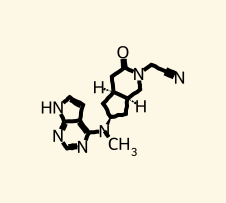 CN(c1ncnc2[nH]ccc12)[C@H]1C[C@H]2CC(=O)N(CC#N)C[C@H]2C1